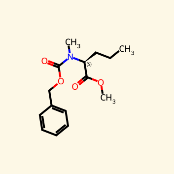 CCC[C@@H](C(=O)OC)N(C)C(=O)OCc1ccccc1